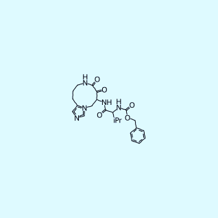 CC(C)C(NC(=O)OCc1ccccc1)C(=O)NC1Cn2cncc2CCCNC(=O)C1=O